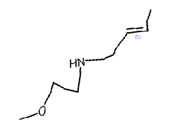 C/C=C/CNCCOC